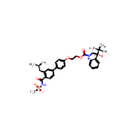 CC(C)Cc1cc(-c2ccc(OCCOC(=O)NC[C@](O)(c3ccccc3)C(C)(C)C)cc2)ccc1C(=O)NS(C)(=O)=O